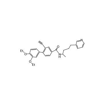 C#Cc1cc(C(=O)NC(C)CCCc2cccnc2)ccc1-c1ccc(OCC)c(OCC)c1